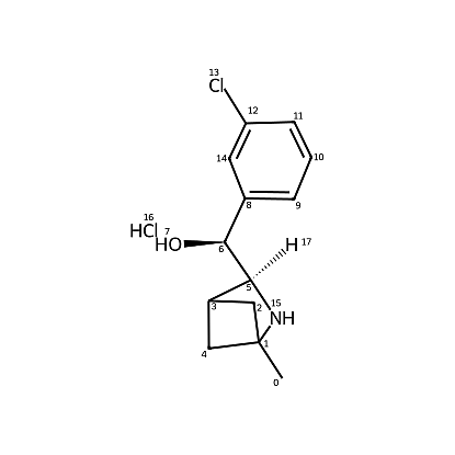 CC12CC(C1)[C@@H]([C@@H](O)c1cccc(Cl)c1)N2.Cl